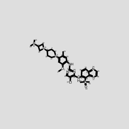 COc1cc(N2CCC(N3CC(N(C)C)C3)CC2)c(C)cc1Nc1ncc(Cl)c(Nc2ccc3nccnc3c2P(C)(C)=O)n1